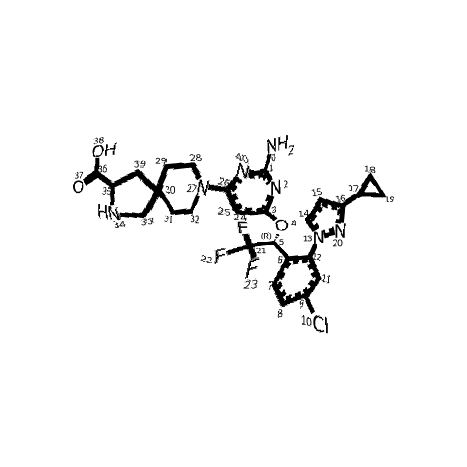 Nc1nc(O[C@H](c2ccc(Cl)cc2-n2ccc(C3CC3)n2)C(F)(F)F)cc(N2CCC3(CC2)CNC(C(=O)O)C3)n1